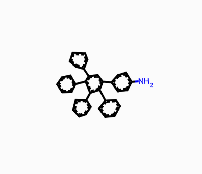 Nc1ccc(-c2cc(-c3ccccc3)c(-c3ccccc3)c(-c3ccccc3)c2-c2ccccc2)cc1